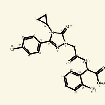 COC(=O)C(NC(=O)Cn1nc(-c2ccc(Cl)cc2)n(C2CC2)c1=O)c1ccccc1C(F)(F)F